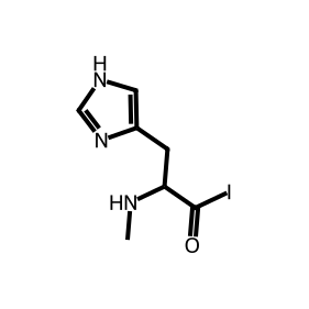 CNC(Cc1c[nH]cn1)C(=O)I